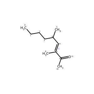 CCCCC(C)/C=C(\C)C(C)=O